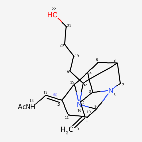 C=CCC1C2CC3CN1C1CC/C(=C\NC(C)=O)C2N1C3CCCCO